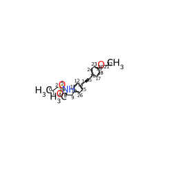 CCCS(=O)(=O)NC(C)Cc1ccc(C#Cc2ccc(OCC)cc2)cc1